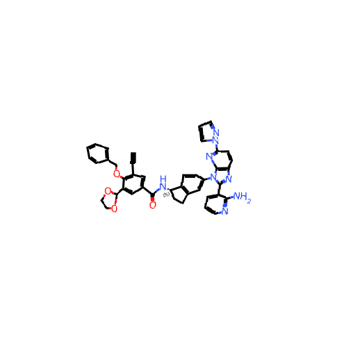 C#Cc1cc(C(=O)N[C@H]2CCc3cc(-n4c(-c5cccnc5N)nc5ccc(-n6cccn6)nc54)ccc32)cc(C2OCCO2)c1OCc1ccccc1